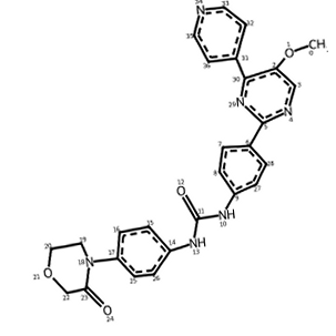 COc1cnc(-c2ccc(NC(=O)Nc3ccc(N4CCOCC4=O)cc3)cc2)nc1-c1ccncc1